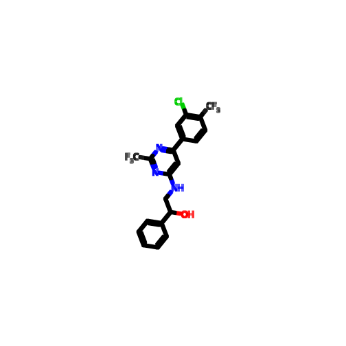 OC(CNc1cc(-c2ccc(C(F)(F)F)c(Cl)c2)nc(C(F)(F)F)n1)c1ccccc1